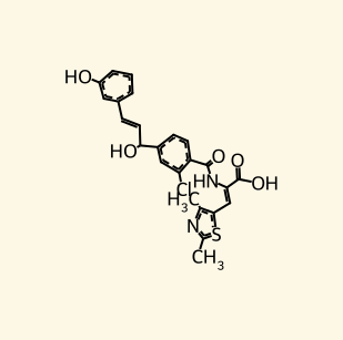 Cc1nc(C)c(C=C(NC(=O)c2ccc(C(O)C=Cc3cccc(O)c3)cc2Cl)C(=O)O)s1